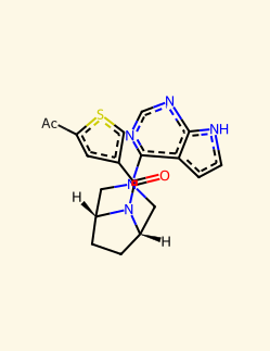 CC(=O)c1cc(C(=O)N2[C@@H]3CC[C@H]2CN(c2ncnc4[nH]ccc24)C3)cs1